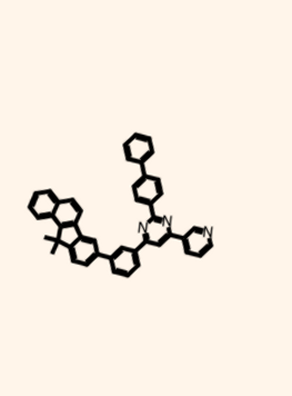 CC1(C)c2ccc(-c3cccc(-c4cc(-c5cccnc5)nc(-c5ccc(-c6ccccc6)cc5)n4)c3)cc2-c2ccc3ccccc3c21